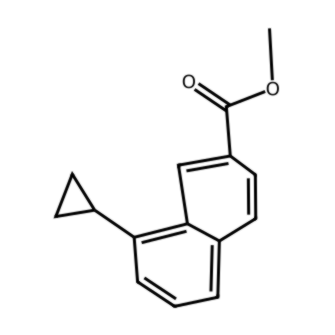 COC(=O)c1ccc2cccc(C3CC3)c2c1